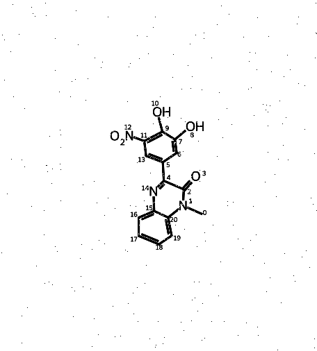 Cn1c(=O)c(-c2cc(O)c(O)c([N+](=O)[O-])c2)nc2ccccc21